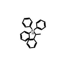 CC(c1ccccc1)[AsH](c1ccccc1)(c1ccccc1)c1ccccc1